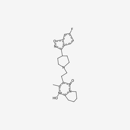 Cc1c(CCN2CCC(c3noc4cc(F)ccc34)CC2)c(=O)n2c([n+]1O)CCCC2